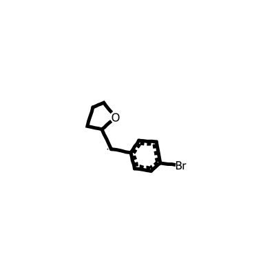 Brc1ccc([CH]C2CCCO2)cc1